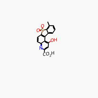 Cc1cccc2c1S(=O)(=O)c1ccc3nc(C(=O)O)cc(O)c3c1-2